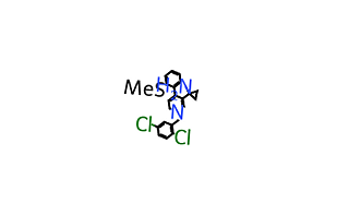 CSc1ccccc1C1=CCN(Cc2cc(Cl)ccc2Cl)C=C1C1(N)CC1